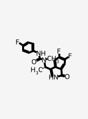 C[C@@H](c1c[nH]c(=O)c2cc(F)c(F)cc12)N(C)C(=O)Nc1ccc(F)cc1